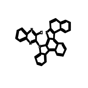 Clc1nc2ccccc2nc1-n1c2ccccc2c2c3ccccc3c3c(sc4ccc5ccccc5c43)c21